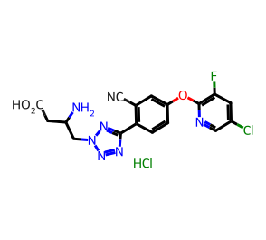 Cl.N#Cc1cc(Oc2ncc(Cl)cc2F)ccc1-c1nnn(CC(N)CC(=O)O)n1